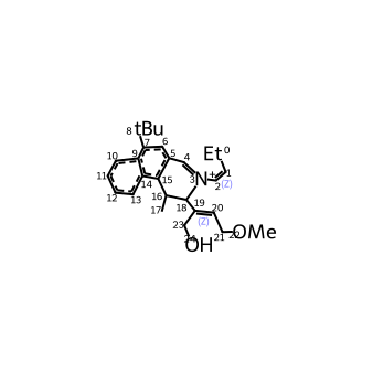 CC/C=C\[N+]1=Cc2cc(C(C)(C)C)c3ccccc3c2C(C)C1/C(=C/COC)CO